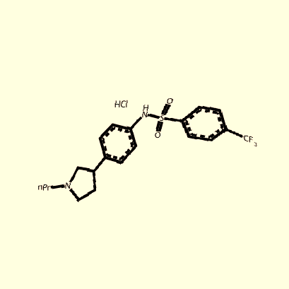 CCCN1CCC(c2ccc(NS(=O)(=O)c3ccc(C(F)(F)F)cc3)cc2)C1.Cl